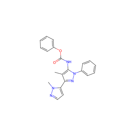 Cc1c(-c2ccnn2C)nn(-c2ccccc2)c1NC(=O)Oc1ccccc1